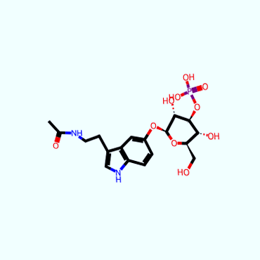 CC(=O)NCCc1c[nH]c2ccc(O[C@@H]3O[C@H](CO)[C@@H](O)[C@H](OP(=O)(O)O)[C@H]3O)cc12